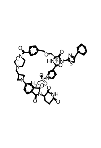 CS(=O)(=O)n1ccc(C(=O)N[C@@H](COCc2ccc(C(=O)N3CCN(CC4CN(c5ccc6c(c5)C(=O)N(C5CCC(=O)NC5=O)C6=O)C4)CC3)cc2)C(=O)Nc2nc(-c3ccccc3)cs2)c1